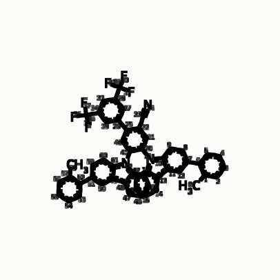 Cc1ccccc1-c1ccc2c(c1)c1ccccc1n2-c1cc(C#N)c(-c2cc(C(F)(F)F)cc(C(F)(F)F)c2)cc1-n1c2ccccc2c2cc(-c3ccccc3C)ccc21